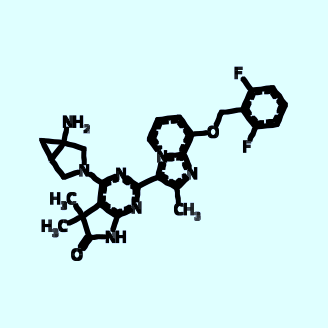 Cc1nc2c(OCc3c(F)cccc3F)cccn2c1-c1nc2c(c(N3CC4CC4(N)C3)n1)C(C)(C)C(=O)N2